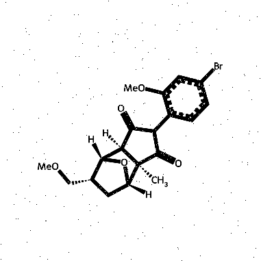 COC[C@H]1C[C@@H]2O[C@H]1[C@H]1C(=O)C(c3ccc(Br)cc3OC)C(=O)[C@@]21C